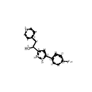 OC(Cc1ccncc1)c1cc(-c2ccc(F)cc2)sn1